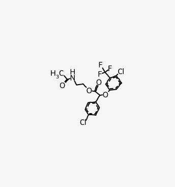 CC(=O)NCCOC(=O)C(Oc1ccc(Cl)c(C(F)(F)F)c1)c1ccc(Cl)cc1